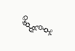 CN(C)C(=O)c1ccc(N2CCN(Cc3cc4c(-c5ccc6c(cnn6C6CCCCO6)c5)ccnc4n3C)CC2)cc1